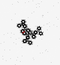 c1ccc(N(c2ccccc2)c2ccc3c(c2)c2ccccc2n3-c2nc(N(c3ccccc3)c3ccc4c(c3)c3ccccc3n4-c3ccccc3)c3cc(N(c4ccccc4)c4ccc5c6ccccc6n(-c6ccccc6)c5c4)ccc3n2)cc1